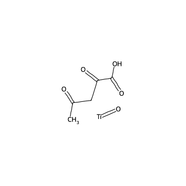 CC(=O)CC(=O)C(=O)O.[O]=[Ti]